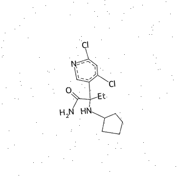 CCC(NC1CCCC1)(C(N)=O)c1cnc(Cl)cc1Cl